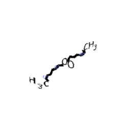 CC/C=C\CC/C=C/COC(=O)CCC/C=C\CC